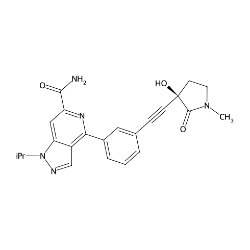 CC(C)n1ncc2c(-c3cccc(C#C[C@]4(O)CCN(C)C4=O)c3)nc(C(N)=O)cc21